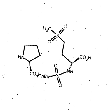 CCCCS(=O)(=O)N[C@@H](CCS(C)(=O)=O)C(=O)O.O=C(O)[C@@H]1CCCN1